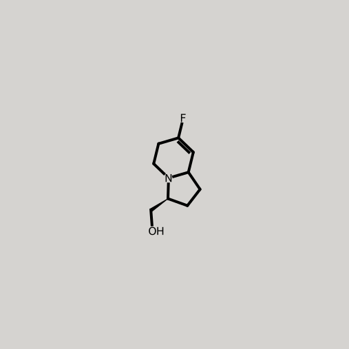 OC[C@@H]1CCC2C=C(F)CCN21